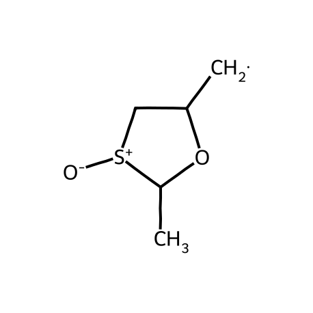 [CH2]C1C[S+]([O-])C(C)O1